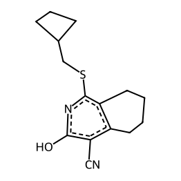 N#Cc1c(O)nc(SCC2CCC2)c2c1CCCC2